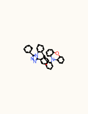 C(#Cc1ccccc1-n1c(-c2ccccc2)nnc1-c1ccccc1)c1ccccc1N1c2ccccc2Oc2ccccc21